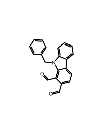 O=Cc1ccc2c3ccccc3n(Cc3ccccc3)c2c1C=O